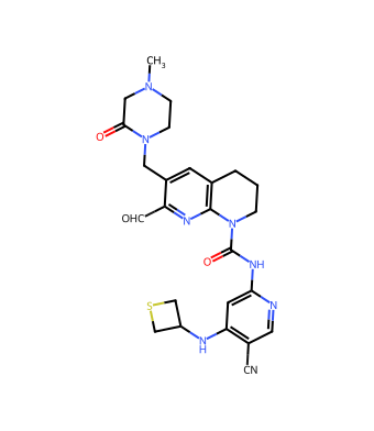 CN1CCN(Cc2cc3c(nc2C=O)N(C(=O)Nc2cc(NC4CSC4)c(C#N)cn2)CCC3)C(=O)C1